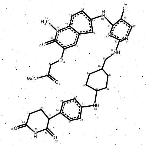 CNC(=O)COc1cc2cc(Nc3nc(NCC4CCC(Nc5ccc(C6CCC(=O)NC6=O)cc5)CC4)ncc3Cl)ccc2n(C)c1=O